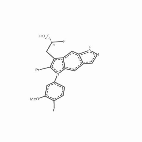 COc1cc(-n2c(C(C)C)c(C[C@@H](F)C(=O)O)c3cc4[nH]ncc4cc32)ccc1F